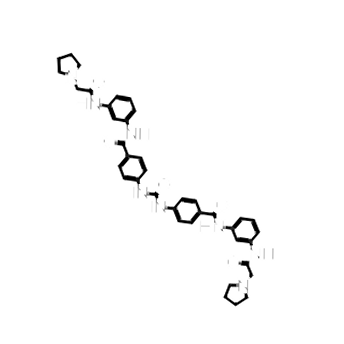 O=C(CN1CCCC1)Nc1cccc(NC(=O)c2ccc(NC(=O)Nc3ccc(C(=O)Nc4cccc(NC(=O)CN5CCCC5)c4)cc3)cc2)c1